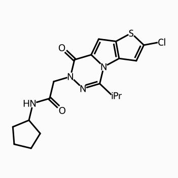 CC(C)c1nn(CC(=O)NC2CCCC2)c(=O)c2cc3sc(Cl)cc3n12